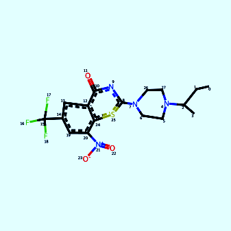 CCC(C)N1CCN(c2nc(=O)c3cc(C(F)(F)F)cc([N+](=O)[O-])c3s2)CC1